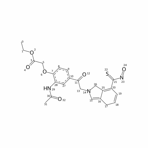 CCOC(=O)COc1ccc(C(=O)CN2C=C3CC=CC(C(=S)N=O)=C3C2)cc1NC(C)=O